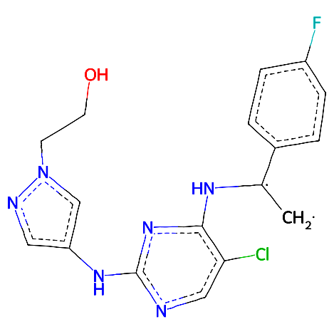 [CH2][C](Nc1nc(Nc2cnn(CCO)c2)ncc1Cl)c1ccc(F)cc1